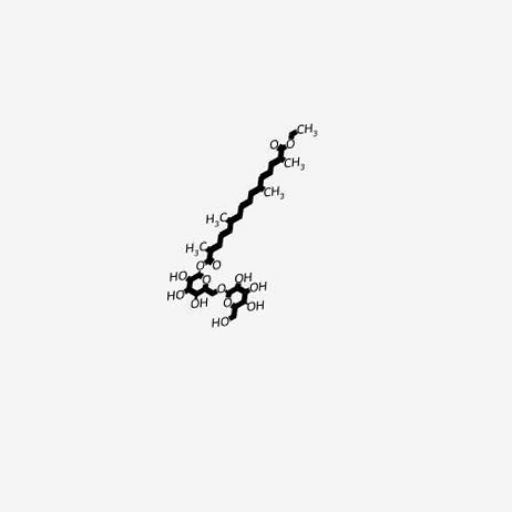 CCOC(=O)/C(C)=C/C=C/C(C)=C/C=C/C=C(C)/C=C/C=C(\C)C(=O)O[C@@H]1OC(CO[C@@H]2OC(CO)[C@@H](O)C(O)C2O)[C@@H](O)C(O)C1O